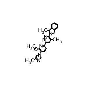 COc1nc(-c2cc(C)c(N3Cc4ccccc4C3C)nn2)ccc1-n1cnc(C)c1